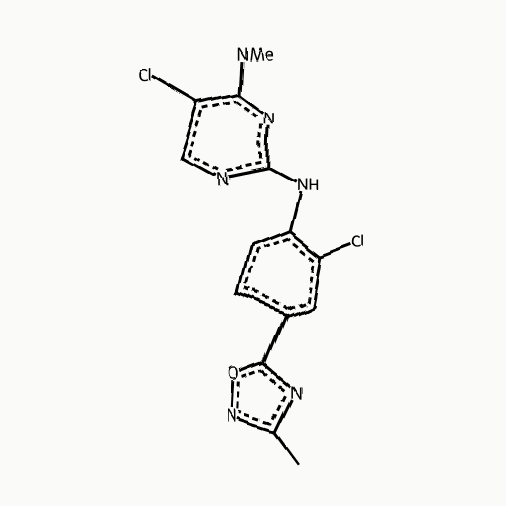 CNc1nc(Nc2ccc(-c3nc(C)no3)cc2Cl)ncc1Cl